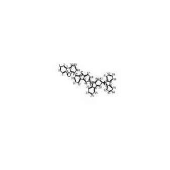 c1ccc2c(c1)oc1c(-c3cccc4c3sc3ccc(-n5c6ccccc6c6cc(-n7c8ccccc8c8ccccc87)ccc65)cc34)cccc12